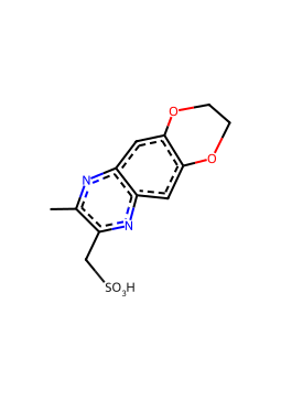 Cc1nc2cc3c(cc2nc1CS(=O)(=O)O)OCCO3